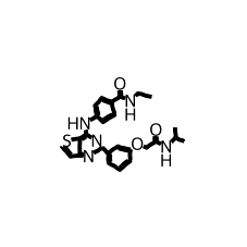 CCNC(=O)c1ccc(Nc2nc(-c3cccc(OCC(=O)NC(C)C)c3)nc3ccsc23)cc1